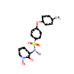 CCN(c1cccn(O)c1=O)S(=O)(=O)c1ccc(Oc2ccc(C)cc2)cc1